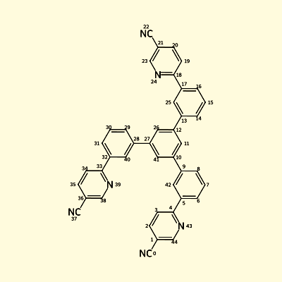 N#Cc1ccc(-c2cccc(-c3cc(-c4cccc(-c5ccc(C#N)cn5)c4)cc(-c4cccc(-c5ccc(C#N)cn5)c4)c3)c2)nc1